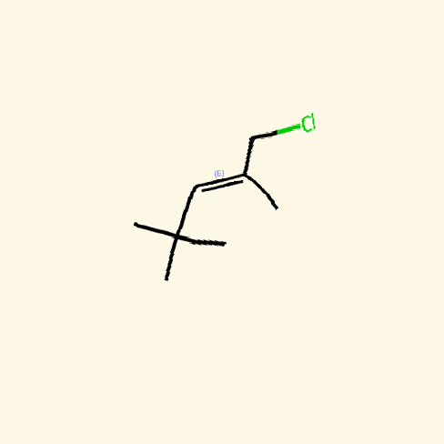 C/C(=C\C(C)(C)C)CCl